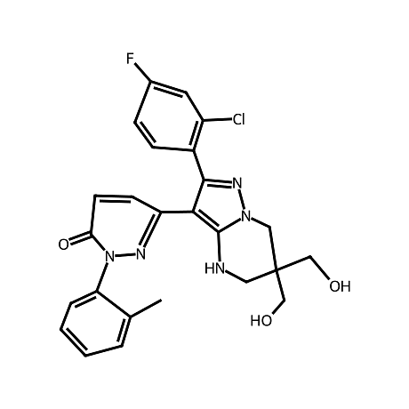 Cc1ccccc1-n1nc(-c2c(-c3ccc(F)cc3Cl)nn3c2NCC(CO)(CO)C3)ccc1=O